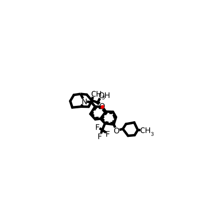 CC1CCC(Oc2ccc3cc(C(C)N4C5CCCC4CC(C(=O)O)C5)ccc3c2C(F)(F)F)CC1